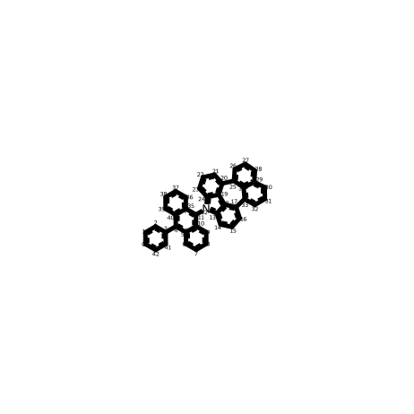 c1ccc(-c2c3ccccc3c(-n3c4cccc5c4c4c(cccc43)-c3cccc4cccc-5c34)c3ccccc23)cc1